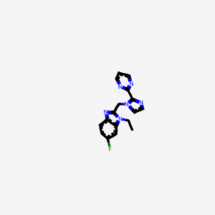 CCn1c(Cn2ccnc2-c2ncccn2)nc2ccc(F)cc21